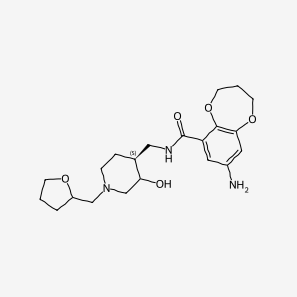 Nc1cc2c(c(C(=O)NC[C@@H]3CCN(CC4CCCO4)CC3O)c1)OCCCO2